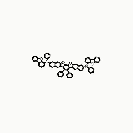 c1ccc(-c2c(-c3ccccc3)c3c4cc5ccc(N(c6ccccc6)c6cccc7c6oc6ccccc67)cc5cc4oc3c3oc4cc5cc(N(c6ccccc6)c6cccc7c6oc6ccccc67)ccc5cc4c23)cc1